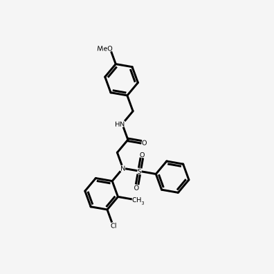 COc1ccc(CNC(=O)CN(c2cccc(Cl)c2C)S(=O)(=O)c2ccccc2)cc1